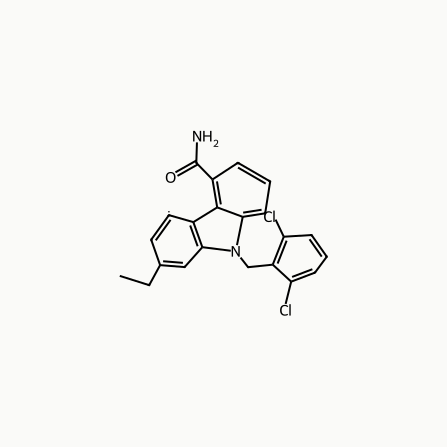 CCc1c[c]c2c3c(C(N)=O)cccc3n(Cc3c(Cl)cccc3Cl)c2c1